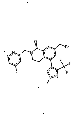 Cc1cnnc(CN2CCc3c(cc(CBr)cc3-c3cn(C)nc3C(F)(F)F)C2=O)c1